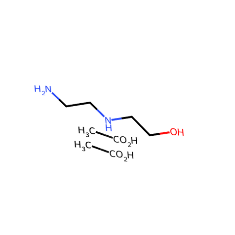 CC(=O)O.CC(=O)O.NCCNCCO